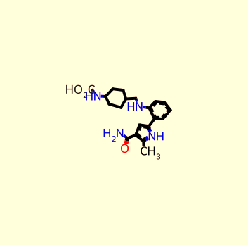 Cc1[nH]c(-c2ccccc2NCC2CCC(NC(=O)O)CC2)cc1C(N)=O